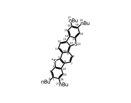 CCCCc1cc2sc3c(ccc4c3ccc3c5cc(CCCC)c(CCCC)cc5sc34)c2cc1CCCC